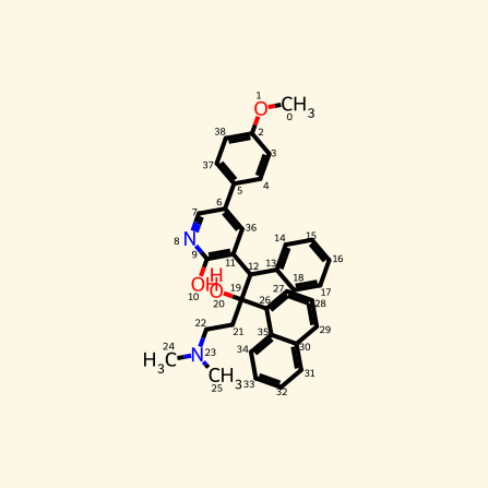 COc1ccc(-c2cnc(O)c(C(c3ccccc3)C(O)(CCN(C)C)C3=C=C=Cc4ccccc43)c2)cc1